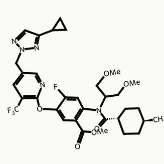 COCC(COC)N(c1cc(F)c(Oc2ncc(Cn3ncc(C4CC4)n3)cc2C(F)(F)F)cc1C(=O)OC)C(=O)[C@H]1CC[C@H](C)CC1